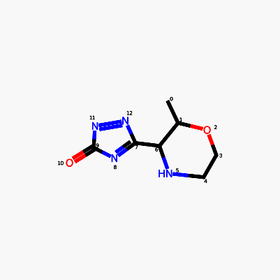 CC1OCCNC1C1=NC(=O)N=N1